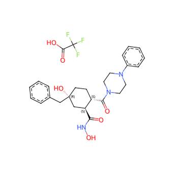 O=C(NO)[C@H]1C[C@@](O)(Cc2ccccc2)CC[C@@H]1C(=O)N1CCN(c2ccccc2)CC1.O=C(O)C(F)(F)F